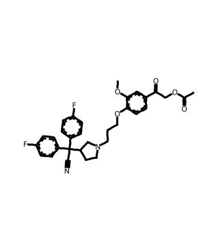 COc1cc(C(=O)COC(C)=O)ccc1OCCCN1CCC(C(C#N)(c2ccc(F)cc2)c2ccc(F)cc2)C1